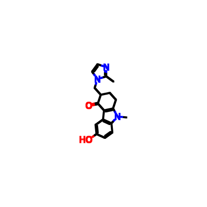 Cc1nccn1CC1CCc2c(c3cc(O)ccc3n2C)C1=O